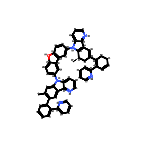 Cc1cc2c(cc1-c1ccccc1-c1ccccn1)c1ncccc1n2-c1ccc2oc3ccc(-n4c5c(c6ncccc64)C=C(C4=C(c6ccccn6)C=CCC4)C[C@@H]5C)cc3c2c1